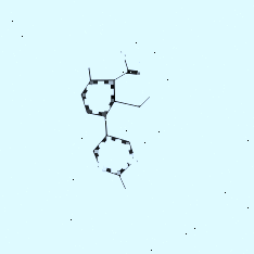 CCc1c(-c2cnc(C)nc2)ccc(F)c1C(N)=O